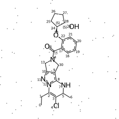 CCC1=C(Cl)C(C)Nc2c3c(nn21)CN(C(=O)c1ccccc1O[C@H]1CCC[C@@H]1O)C3